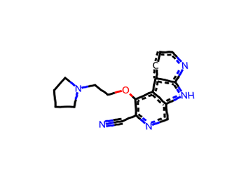 N#Cc1ncc2[nH]c3ncccc3c2c1OCCN1CCCC1